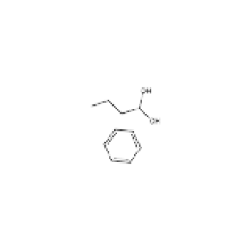 CCCC(O)O.c1ccccc1